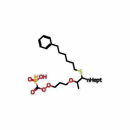 CCCCCCCC(SCCCCCCc1ccccc1)C(C)OCCCOOC(=O)[PH](=O)O